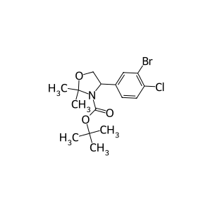 CC(C)(C)OC(=O)N1C(c2ccc(Cl)c(Br)c2)COC1(C)C